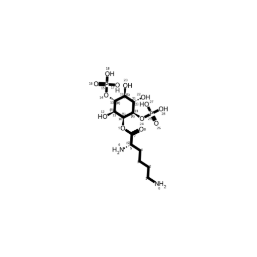 NCCCC[C@H](N)C(=O)O[C@H]1[C@@H](O)[C@H](OP(=O)(O)O)[C@@H](O)[C@H](O)[C@H]1OP(=O)(O)O